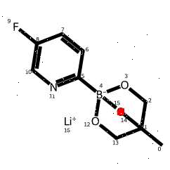 CC12CO[B-](c3ccc(F)cn3)(OC1)OC2.[Li+]